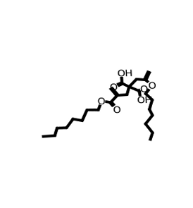 C=C(CC(CC(=C)C(=O)OCCCCCCCC)(C(=O)O)C(=O)O)OCCCCCCC